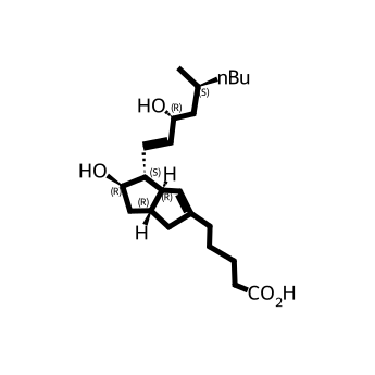 CCCC[C@H](C)C[C@@H](O)C=C[C@@H]1[C@H]2C=C(CCCCC(=O)O)C[C@@H]2C[C@H]1O